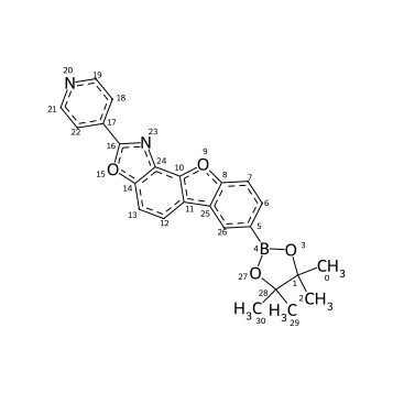 CC1(C)OB(c2ccc3oc4c(ccc5oc(-c6ccncc6)nc54)c3c2)OC1(C)C